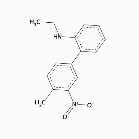 [CH2]c1ccc(-c2ccccc2NCC)cc1[N+](=O)[O-]